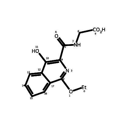 CCOc1nc(C(=O)NCC(=O)O)c(O)c2ccccc12